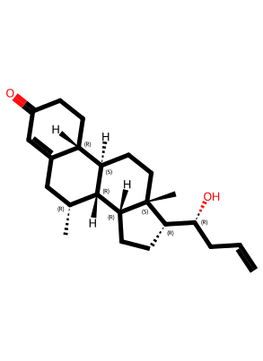 C=CC[C@@H](O)[C@@H]1CC[C@@H]2[C@H]3[C@H](CC[C@@]21C)[C@H]1CCC(=O)C=C1C[C@H]3C